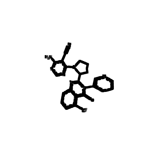 N#Cc1c(N)ncnc1N1CCCC1c1nc2cccc(Cl)c2c(=O)n1-c1cccnc1